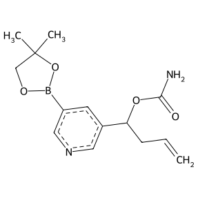 C=CCC(OC(N)=O)c1cncc(B2OCC(C)(C)O2)c1